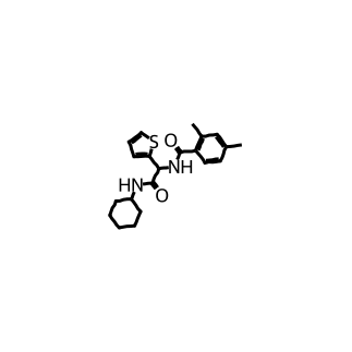 Cc1ccc(C(=O)NC(C(=O)NC2CCCCC2)c2cccs2)c(C)c1